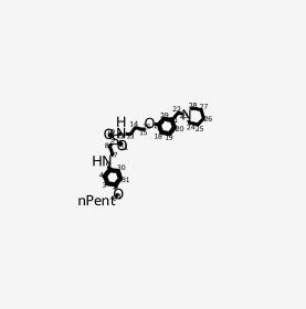 CCCCCOc1ccc(NCCS(=O)(=O)NCCCOc2cccc(CN3CCCCC3)c2)cc1